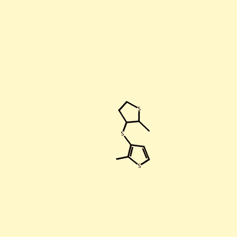 Cc1sccc1SC1CCSC1C